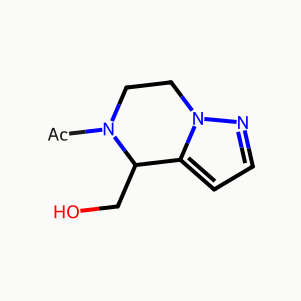 CC(=O)N1CCn2nccc2C1CO